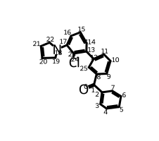 O=C(c1ccccc1)c1cccc(-c2[c]ccc(N3CC=CC3)c2Cl)c1